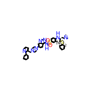 CN(C)CC[C@H](CSc1ccccc1)Nc1ccc(S(=O)(=O)Nc2ncnc3cc(N4CCN(Cc5cccnc5-c5ccccc5)CC4)ccc23)cc1[N+](=O)[O-]